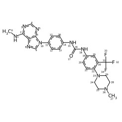 CNc1ncnc2c1ncn2-c1ccc(NC(=O)Nc2ccc(N3CCN(C)CC3)c(C(F)(F)F)c2)cc1